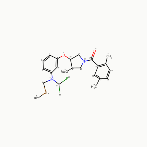 CCCSCN(c1cccc(OC2CN(C(=O)c3cc(C)ccc3C)CC2OC)c1)C(F)F